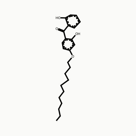 CCCCCCCCCCCOc1ccc(C(=O)c2ccccc2O)c(O)c1